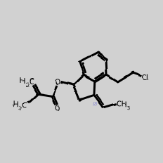 C=C(C)C(=O)OC1C/C(=C/C)c2c(CCCl)cccc21